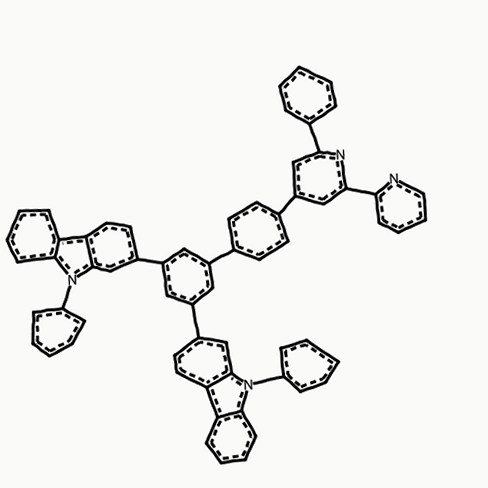 c1ccc(-c2cc(-c3ccc(-c4cc(-c5ccc6c7ccccc7n(-c7ccccc7)c6c5)cc(-c5ccc6c7ccccc7n(-c7ccccc7)c6c5)c4)cc3)cc(-c3ccccn3)n2)cc1